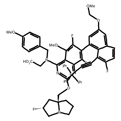 COCOc1cc(-c2c(F)c(OC)c3c(N(CC(=O)O)Cc4ccc(OC)cc4)nc(OC[C@@]45CCCN4C[C@H](F)C5)nc3c2F)c2c(C#C[Si](C(C)C)(C(C)C)C(C)C)c(F)ccc2c1